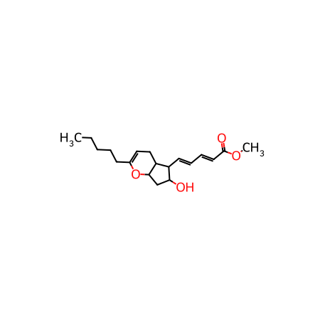 CCCCCC1=CCC2C(CC(O)C2C=CC=CC(=O)OC)O1